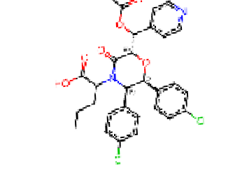 CCCC(C(=O)O)N1C(=O)[C@H](C(OC(C)=O)c2ccncc2)O[C@@H](c2ccc(Cl)cc2)[C@H]1c1ccc(Cl)cc1